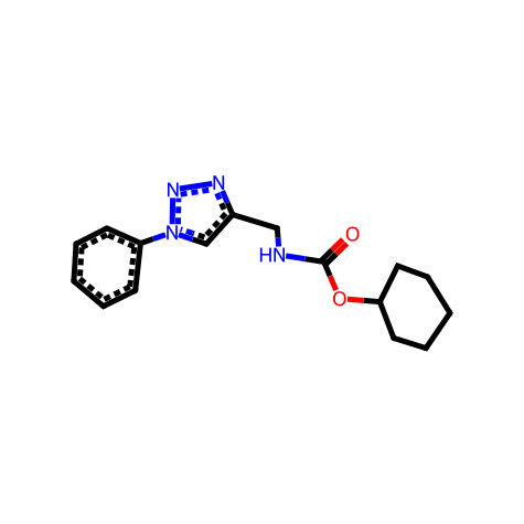 O=C(NCc1cn(-c2ccccc2)nn1)OC1CCCCC1